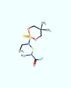 CCN(SN(C)C(=O)F)P1(=S)OCC(C)(C)CO1